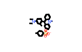 CCN(CC)c1ccc(-c2c3ccccc3[n+](C)c3ccccc23)c(C)c1.Cc1ccc(S(=O)(=O)[O-])cc1